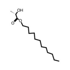 CCCCCCCCCCCCOC(=O)[C@H](C)O